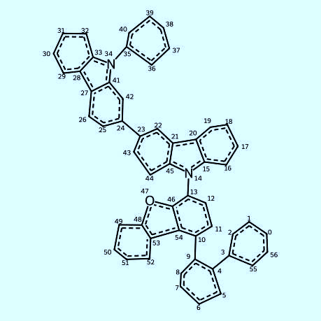 c1ccc(-c2ccccc2-c2ccc(-n3c4ccccc4c4cc(-c5ccc6c7ccccc7n(-c7ccccc7)c6c5)ccc43)c3oc4ccccc4c23)cc1